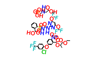 CCOC(=O)C(C)OC(=O)c1cc(Oc2ccc(C(F)(F)F)cc2Cl)ccc1[N+](=O)[O-].O=C(Nc1nc(OC(F)F)cc(OC(F)F)n1)NS(=O)(=O)c1ccccc1C(=O)O.O=C(O)CNCP(=O)(O)O